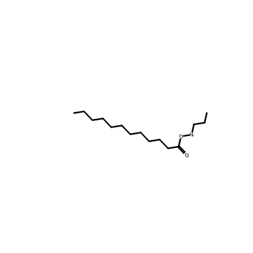 CCCCCCCCCCCC(=O)O[N]CCC